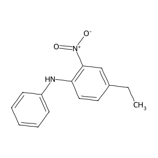 CCc1ccc(Nc2ccccc2)c([N+](=O)[O-])c1